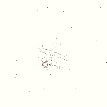 Cc1cc2c(cc1N1c3cc4c(cc3B3c5c1cc1c(sc6ccccc61)c5-c1ccc5sc6ccccc6c5c1N3c1ccc(C(C)(C)C)cc1-c1ccccc1)Oc1ccccc1O4)C(C)(C)CCC2(C)C